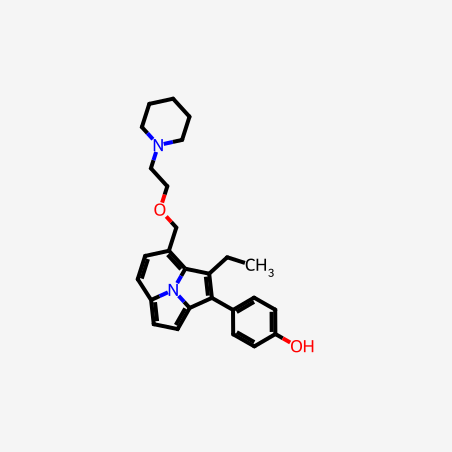 CCc1c(-c2ccc(O)cc2)c2ccc3ccc(COCCN4CCCCC4)c1n32